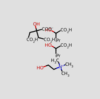 CC(C)C(O)C(=O)O.CC(C)C(O)C(=O)O.C[N+](C)(C)CCO.O=C(O)CC(O)(CC(=O)O)C(=O)[O-]